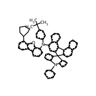 CC(C)(C)c1ccc(N(c2cc3c(c4ccccc24)-c2c(ccc4ccccc24)C32c3ccccc3N(c3ccccc3)c3ccccc32)c2cccc3c2oc2c(C4CCCCC4)cccc23)cc1